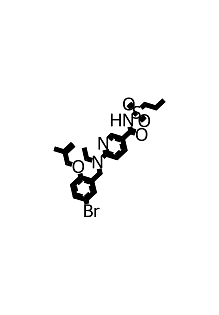 C=C(C)COc1ccc(Br)cc1CN(CC)c1ccc(C(=O)NS(=O)(=O)CCC)cn1